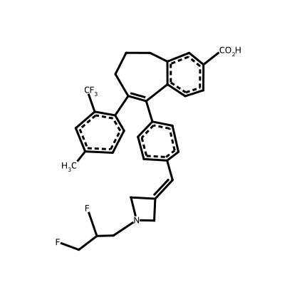 Cc1ccc(C2=C(c3ccc(C=C4CN(CC(F)CF)C4)cc3)c3ccc(C(=O)O)cc3CCC2)c(C(F)(F)F)c1